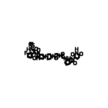 O=C1CCC(N2Cc3c(NCC(=O)N4CCN(C5CCN(c6ccc7c(c6)C(=O)N(C(C(=O)Nc6nccs6)c6cc(F)ccc6O)C7)CC5)CC4)cccc3C2=O)C(=O)N1